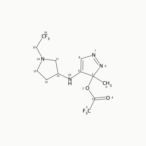 CC1(OC(=O)C(F)(F)F)N=NC=C1NC1CCN(CC(F)(F)F)C1